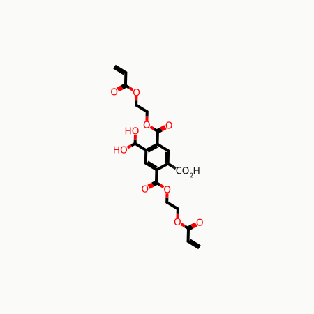 C=CC(=O)OCCOC(=O)c1cc(C(O)O)c(C(=O)OCCOC(=O)C=C)cc1C(=O)O